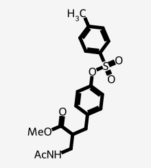 COC(=O)C(CNC(C)=O)Cc1ccc(OS(=O)(=O)c2ccc(C)cc2)cc1